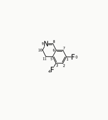 Fc1cc(F)c2c(c1)C=NCC2